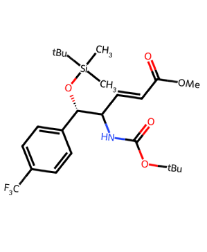 COC(=O)/C=C/C(NC(=O)OC(C)(C)C)[C@@H](O[Si](C)(C)C(C)(C)C)c1ccc(C(F)(F)F)cc1